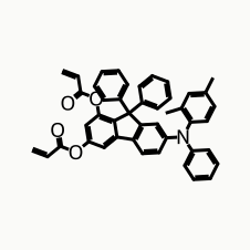 C=CC(=O)Oc1cc(OC(=O)C=C)c2c(c1)-c1ccc(N(c3ccccc3)c3ccc(C)cc3C)cc1C2(c1ccccc1)c1ccccc1